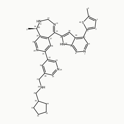 Cc1ccc(-c2cncc3[nH]c(C4=NCN[C@H](C)c5cnc(-c6cncc(CNCC7CCCC7)c6)cc54)cc23)s1